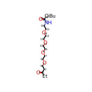 CCC(=O)CCOCCOCCOCCOCCNC(=O)OCC(C)C